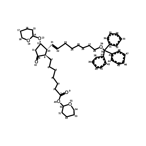 O=C(CCCCCC[C@H]1C(=O)C[C@H](OC2CCCCO2)[C@@H]1C=CCCCCCCOC(c1ccccc1)(c1ccccc1)c1ccccc1)OC1CCCCO1